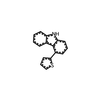 c1csc(-c2cccc3[nH]c4ccccc4c23)c1